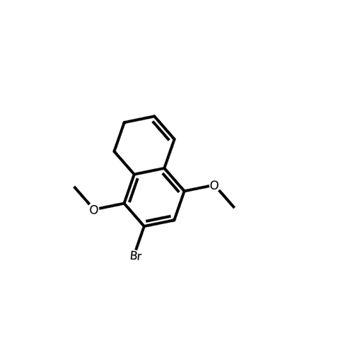 COc1cc(Br)c(OC)c2c1C=CCC2